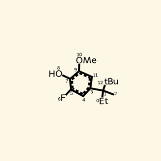 CCC(C)(c1cc(F)c(O)c(OC)c1)C(C)(C)C